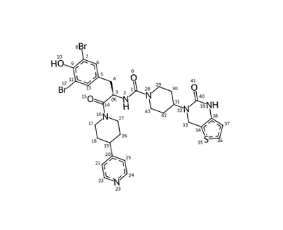 O=C(N[C@H](Cc1cc(Br)c(O)c(Br)c1)C(=O)N1CCC(c2ccncc2)CC1)N1CCC(N2Cc3sccc3NC2=O)CC1